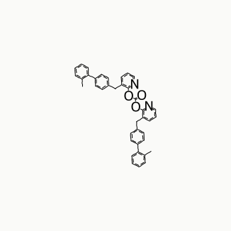 Cc1ccccc1-c1ccc(Cc2cccnc2OC(=O)Oc2ncccc2Cc2ccc(-c3ccccc3C)cc2)cc1